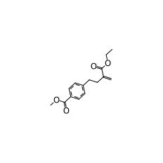 C=C(CCc1ccc(C(=O)OC)cc1)C(=O)OCC